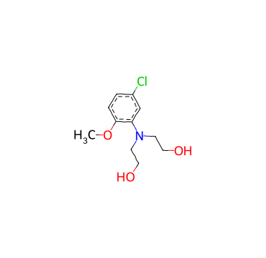 COc1ccc(Cl)cc1N(CCO)CCO